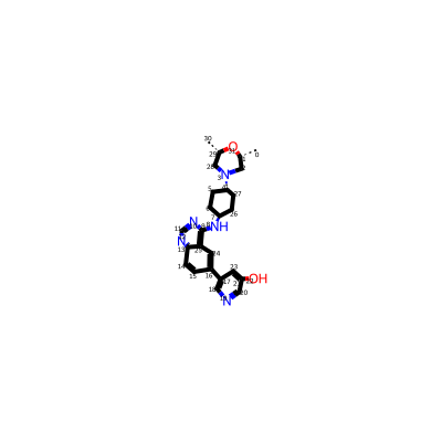 C[C@@H]1CN([C@H]2CC[C@H](Nc3ncnc4ccc(-c5cncc(O)c5)cc34)CC2)C[C@H](C)O1